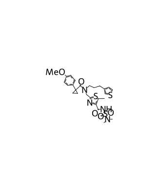 COc1ccc(C2(C(=O)N(CCCc3ccsc3)Cc3nc(C(=O)NS(=O)(=O)N(C)C)c(C)s3)CC2)cc1